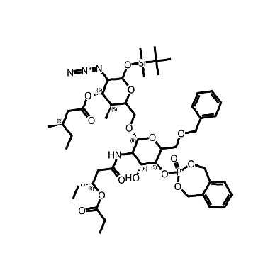 CCC(=O)O[C@H](CC)CC(=O)NC1[C@H](OCC2OC(O[Si](C)(C)C(C)(C)C)C(N=[N+]=[N-])[C@@H](OC(=O)C[C@H](C)CC)[C@@H]2C)OC(COCc2ccccc2)[C@@H](OP2(=O)OCc3ccccc3CO2)[C@@H]1O